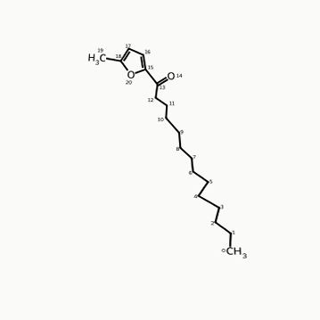 CCCCCCCCCCCCCC(=O)c1ccc(C)o1